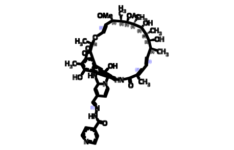 CO[C@H]1/C=C/O[C@@]2(C)Oc3c(C)c(O)c4c(O)c(c5c(c4c3C2=O)NC2C=C(/C=N/NC(=O)c3ccncc3)C=CN52)NC(=O)/C(C)=C\C=C\[C@H](C)[C@H](O)[C@@H](C)[C@@H](O)[C@@H](C)[C@H](OC(C)=O)[C@@H]1C